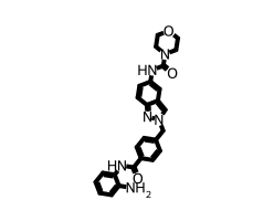 Nc1ccccc1NC(=O)c1ccc(Cn2cc3cc(NC(=O)N4CCOCC4)ccc3n2)cc1